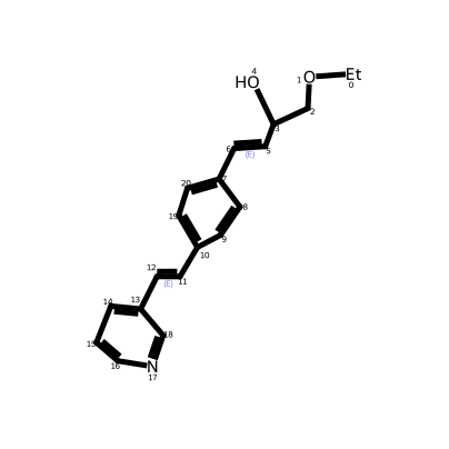 CCOCC(O)/C=C/c1ccc(/C=C/c2cccnc2)cc1